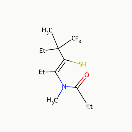 CCC(=O)N(C)/C(CC)=C(\S)C(C)(CC)C(F)(F)F